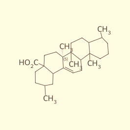 CC1CCC2(C(=O)O)CC[C@]3(C)C(=CCC4C5(C)CCCC(C)C5CCC43C)C2C1